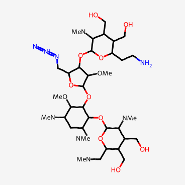 CNCC1OC(OC2C(NC)CC(NC)C(OC)C2OC2OC(CN=[N+]=[N-])C(OC3OC(CCN)C(CO)C(CO)C3NC)C2OC)C(NC)C(CO)C1CO